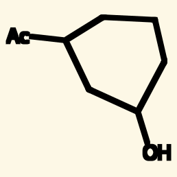 CC(=O)C1CCCC(O)C1